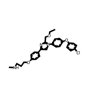 CCOCc1nc(-c2ccc(OCCCNC)cc2)cn1-c1ccc(Oc2ccc(Cl)cc2)cc1